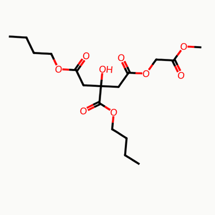 CCCCOC(=O)CC(O)(CC(=O)OCC(=O)OC)C(=O)OCCCC